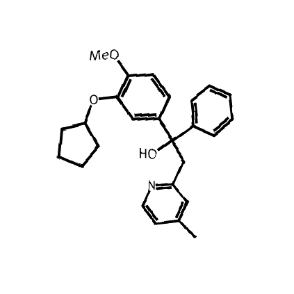 COc1ccc(C(O)(Cc2cc(C)ccn2)c2ccccc2)cc1OC1CCCC1